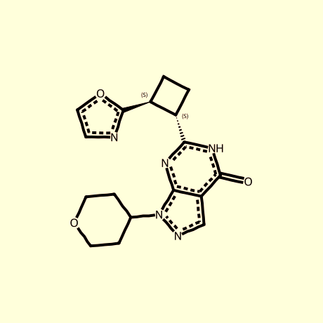 O=c1[nH]c([C@H]2CC[C@@H]2c2ncco2)nc2c1cnn2C1CCOCC1